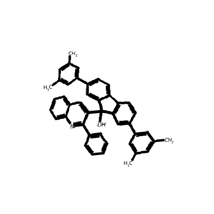 Cc1cc(C)cc(-c2ccc3c(c2)C(O)(c2cc4ccccc4nc2-c2ccccc2)c2cc(-c4cc(C)cc(C)c4)ccc2-3)c1